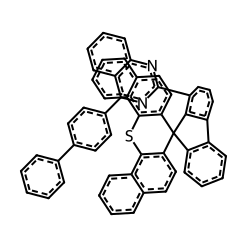 c1ccc(-c2ccc(-c3nc(-c4cccc5c4C4(c6ccccc6-5)c5ccc6ccccc6c5Sc5c4ccc4ccccc54)nc4ccccc34)cc2)cc1